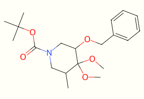 COC1(OC)C(C)CN(C(=O)OC(C)(C)C)CC1OCc1ccccc1